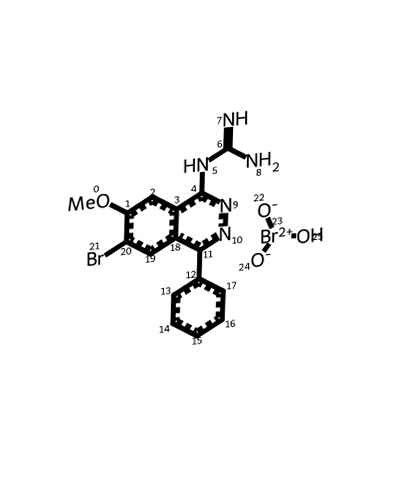 COc1cc2c(NC(=N)N)nnc(-c3ccccc3)c2cc1Br.[O-][Br+2]([O-])O